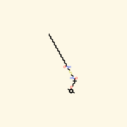 CCC=CCC=CCC=CCC=CCC=CCC=CCCC(=O)NCCSSCCNC(=O)C(C)(C)CCCOc1cc(C)ccc1C